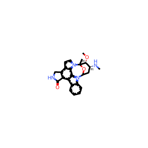 CN[C@@H]1CC2OC(C)([C@@H]1OC)n1ccc3c4c(c5c6ccccc6n2c5c31)C(=O)NC4